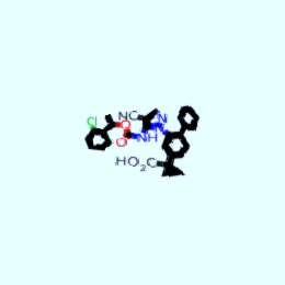 CC(OC(=O)Nc1c(C#N)cnn1-c1cc(C2(C(=O)O)CC2)ccc1-c1ccccc1)c1ccccc1Cl